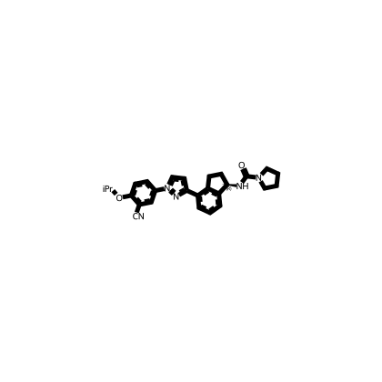 CC(C)Oc1ccc(-n2ccc(-c3cccc4c3CC[C@H]4NC(=O)N3CCCC3)n2)cc1C#N